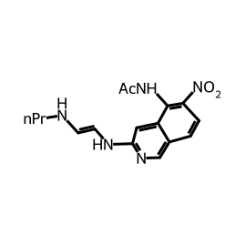 CCCN/C=C/Nc1cc2c(NC(C)=O)c([N+](=O)[O-])ccc2cn1